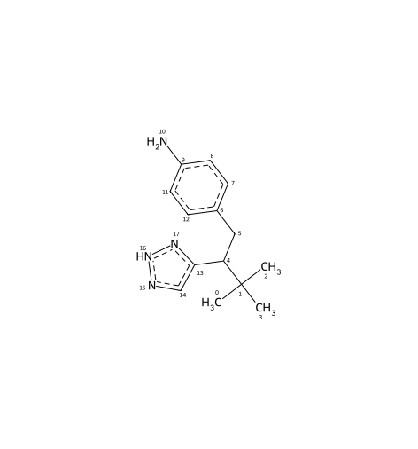 CC(C)(C)C(Cc1ccc(N)cc1)c1cn[nH]n1